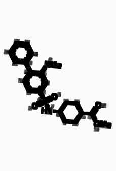 CNc1cc(S(=O)(=O)N[C@H]2CC[C@H](C(=O)OC)CC2)ccc1-c1ccccc1